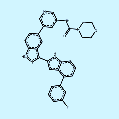 O=C(Nc1cncc(-c2cnc3[nH]nc(-c4cc5c(-c6cccc(F)c6)cccc5[nH]4)c3c2)c1)N1CCOCC1